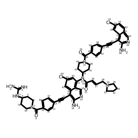 N=C(N)NC1CCN(C(=O)c2ccc(C#Cc3c(N)ncc4c(N(C(=O)/C=C/CN5CCCC5)C5CCN(C(=O)c6ccc(C#Cc7c(N)ncc8ccc(Cl)cc78)cc6)CC5)cc(Cl)cc34)cc2)CC1